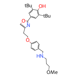 COCCCNCc1ccc(OCCc2coc(-c3cc(C(C)(C)C)c(O)c(C(C)(C)C)c3)n2)cc1